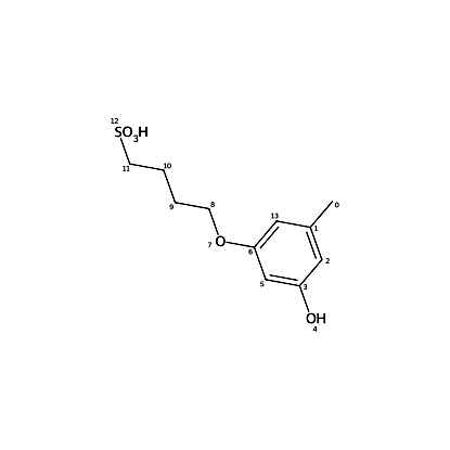 Cc1cc(O)cc(OCCCCS(=O)(=O)O)c1